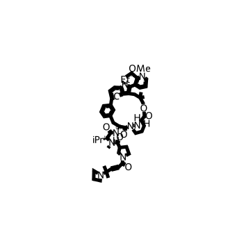 CCn1c(-c2cccnc2[C@H](C)OC)c2c3cc(ccc31)-c1cccc(c1)C[C@H](NC(=O)[C@H](C(C)C)N(C)C(=O)C1CCN(C(=O)C#CC(C)(C)N3CCC3)C1)C(=O)N1CCC[C@H](N1)C(=O)OCC(C)(C)C2